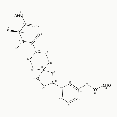 COC(=O)[C@H](C(C)C)N(C)C(=O)N1CCC2(CC1)CN(c1cccc(COC=O)c1)CO2